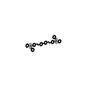 C(=Cc1ccc(N(Oc2ccccc2)Oc2ccccc2)cc1)c1ccc(-c2ccc(C=Cc3ccc(N(Oc4ccccc4)Oc4ccccc4)cc3)cc2)cc1